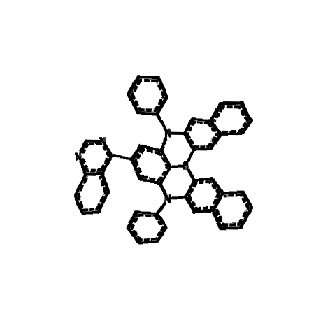 c1ccc(N2c3cc4ccccc4cc3B3c4cc5ccccc5cc4N(c4ccccc4)c4cc(-c5ncnc6ccccc56)cc2c43)cc1